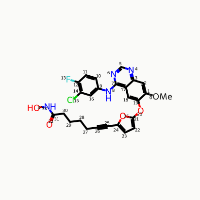 COc1cc2ncnc(Nc3ccc(F)c(Cl)c3)c2cc1Oc1ccc(C#CCCCCC(=O)NO)o1